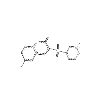 O=c1oc2ccc(Cl)cc2cc1S(=O)(=O)c1cccc(F)c1